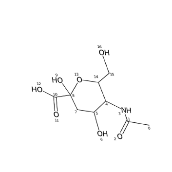 CC(=O)NC1C(O)CC(O)(C(=O)O)OC1CO